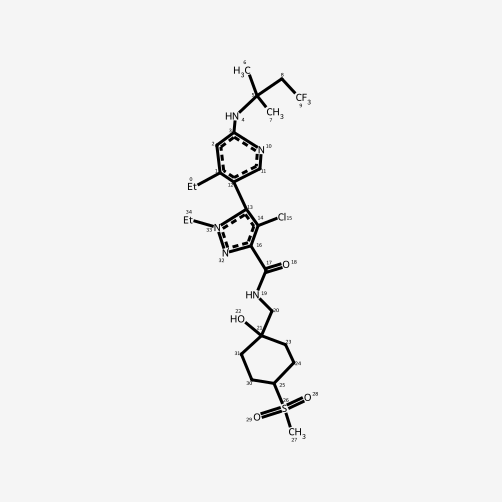 CCc1cc(NC(C)(C)CC(F)(F)F)ncc1-c1c(Cl)c(C(=O)NCC2(O)CCC(S(C)(=O)=O)CC2)nn1CC